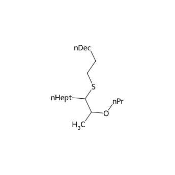 [CH2]CCOC(C)C(CCCCCCC)SCCCCCCCCCCCC